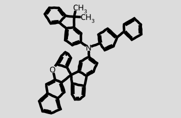 CC1(C)c2ccccc2-c2ccc(N(c3ccc(-c4ccccc4)cc3)c3ccc4c(c3)C3(c5ccccc5Oc5cc6ccccc6cc53)c3ccccc3-4)cc21